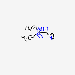 C=CCNC(=CCc1ccccn1)NCC=C